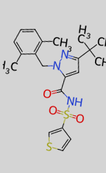 Cc1cccc(C)c1Cn1nc(C(C)(C)C)cc1C(=O)NS(=O)(=O)c1ccsc1